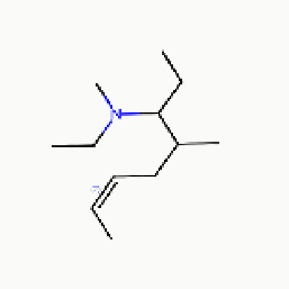 C/C=C\CC(C)C(CC)N(C)CC